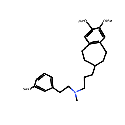 COc1cccc(CCN(C)CCCC2CCc3cc(OC)c(OC)cc3CC2)c1